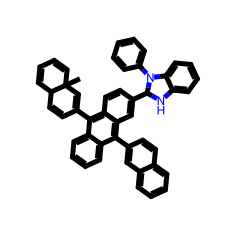 CC12C=CC=CC1C=CC(c1c3ccccc3c(-c3ccc4ccccc4c3)c3cc(C4Nc5ccccc5N4c4ccccc4)ccc13)=C2